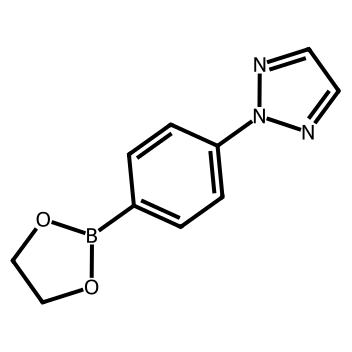 c1cnn(-c2ccc(B3OCCO3)cc2)n1